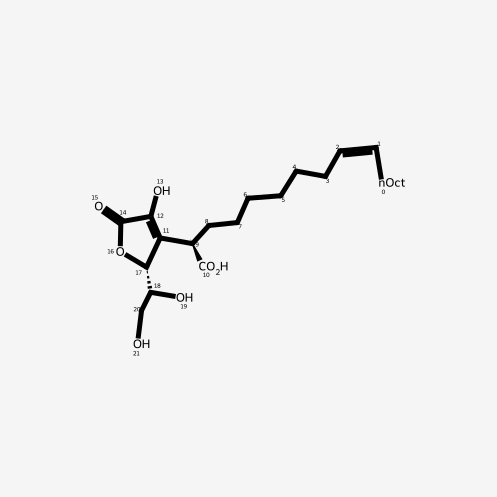 CCCCCCCC/C=C\CCCCCC[C@@H](C(=O)O)C1=C(O)C(=O)O[C@H]1C(O)CO